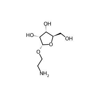 NCCO[C@H]1O[C@H](CO)[C@@H](O)[C@H]1O